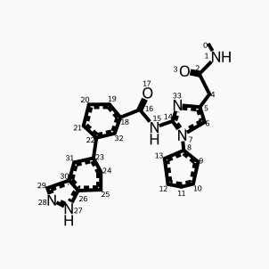 CNC(=O)Cc1cn(-c2ccccc2)c(NC(=O)c2cccc(-c3ccc4[nH]ncc4c3)c2)n1